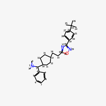 CN(C)C(c1ccccc1)C1CCC(CCc2nc(-c3ccc(C(C)(C)C)cc3)no2)CC1